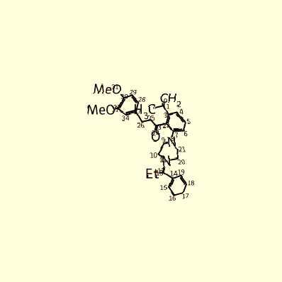 C=C(C)c1cccc(N2CCN(C(CC)C3=CCCC=C3)CC2)c1C(=O)CCc1ccc(OC)c(OC)c1